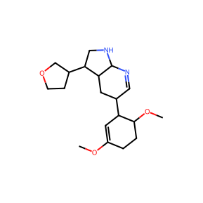 COC1=CC(C2C=NC3NCC(C4CCOC4)C3C2)C(OC)CC1